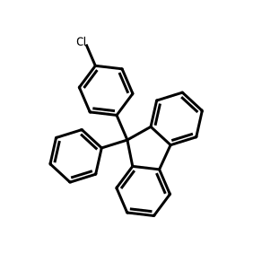 Clc1ccc(C2(c3ccccc3)c3ccccc3-c3ccccc32)cc1